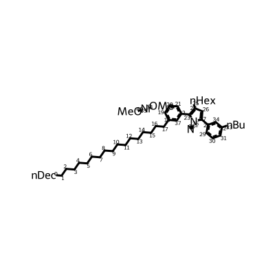 CCCCCCCCCCCCCCCCCCCCCCCCCCCc1cccc(C2=C(CCCCCC)C=C(c3cccc(CCCC)c3)[N+]2=[N-])c1.C[O][Ni][O]C